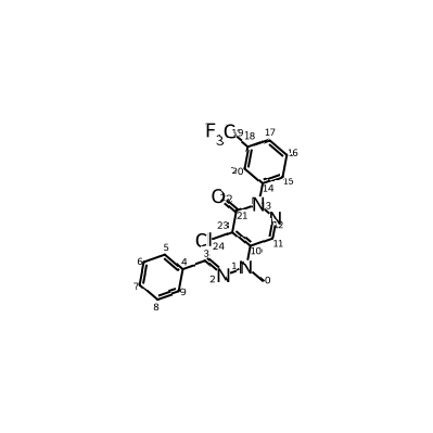 CN(N=Cc1ccccc1)c1cnn(-c2cccc(C(F)(F)F)c2)c(=O)c1Cl